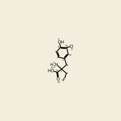 NC(CF)(Cc1ccc(O)c(Cl)c1)C(=O)O